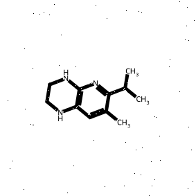 Cc1cc2c(nc1C(C)C)NCCN2